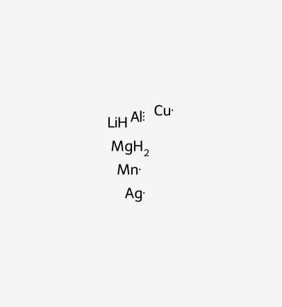 [Ag].[Al].[Cu].[LiH].[MgH2].[Mn]